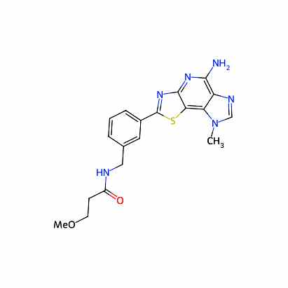 COCCC(=O)NCc1cccc(-c2nc3nc(N)c4ncn(C)c4c3s2)c1